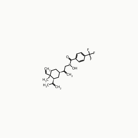 C=C[C@]1(C)CC[C@@H](C(=C)CN(O)C(=O)c2ccc(C(F)(F)F)cc2)C[C@H]1C(=C)C